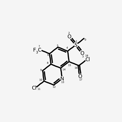 CS(=O)(=O)c1cc(C(F)(F)F)c2cc(Cl)cnc2c1C(=O)Cl